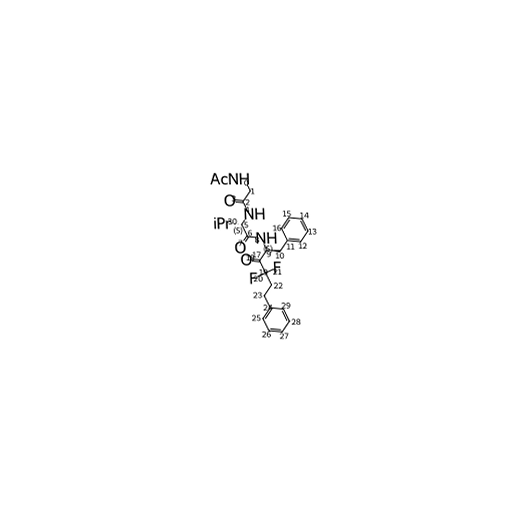 CC(=O)NCC(=O)N[C@H](C(=O)N[C@@H](Cc1ccccc1)C(=O)C(F)(F)CCc1ccccc1)C(C)C